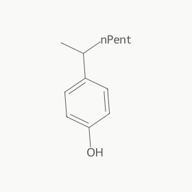 CCCCCC(C)c1ccc(O)cc1